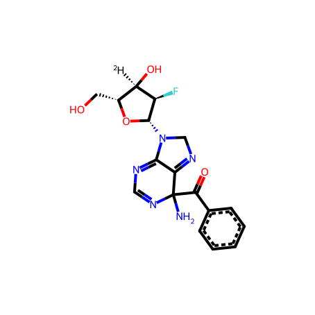 [2H][C@@]1(O)[C@@H](CO)O[C@@H](N2CN=C3C2=NC=NC3(N)C(=O)c2ccccc2)[C@@H]1F